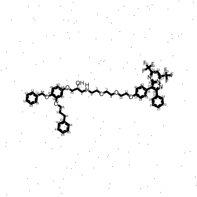 O[C@H](CNCCOCCOCCOc1ccc(-c2c(-c3ccccc3)nn3c(C(F)(F)F)cc(C(F)(F)F)nc23)cc1)COc1ccc(OCc2ccccc2)c(OCCCc2ccccc2)c1